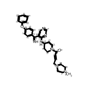 CN1CCN(CC#CC(=O)N2CCC(Nc3ncncc3C(=N)c3ccc(Oc4ccccc4)cc3)CC2)CC1